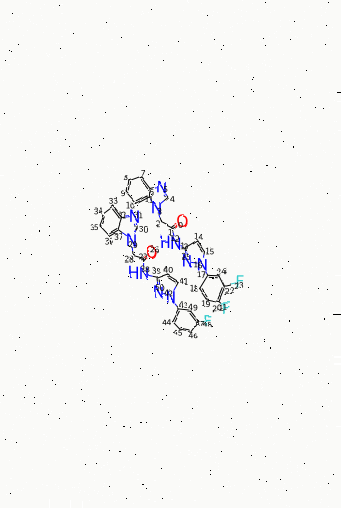 O=C(Cn1cnc2ccccc21)Nc1ccn(-c2ccc(F)c(F)c2)n1.O=C(Cn1cnc2ccccc21)Nc1ccn(-c2cccc(F)c2)n1